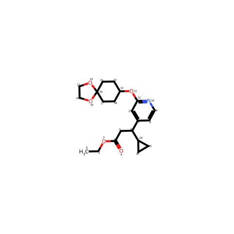 CCOC(=O)CC(c1ccnc(OC2CCC3(CC2)OCCO3)c1)C1CC1